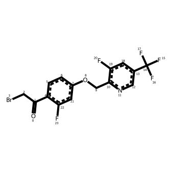 O=C(CBr)c1ccc(OCc2ncc(C(F)(F)F)cc2F)cc1F